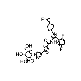 CCOC1CCC(n2cc(NC(=O)c3csc(-c4cnn([C@@H]5O[C@@H](CO)[C@H](O)[C@@H](O)[C@H]5O)c4)n3)c(-c3nc(F)ccc3F)n2)CC1